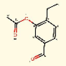 CCc1ccc(C=O)cc1OC(C)=O